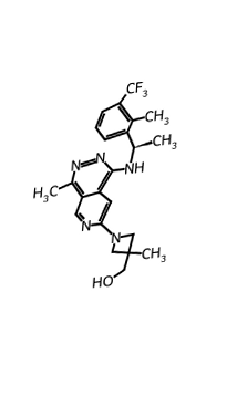 Cc1c([C@@H](C)Nc2nnc(C)c3cnc(N4CC(C)(CO)C4)cc23)cccc1C(F)(F)F